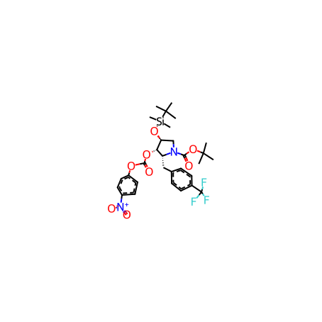 CC(C)(C)OC(=O)N1C[C@H](O[Si](C)(C)C(C)(C)C)[C@@H](OC(=O)Oc2ccc([N+](=O)[O-])cc2)[C@H]1Cc1ccc(C(F)(F)F)cc1